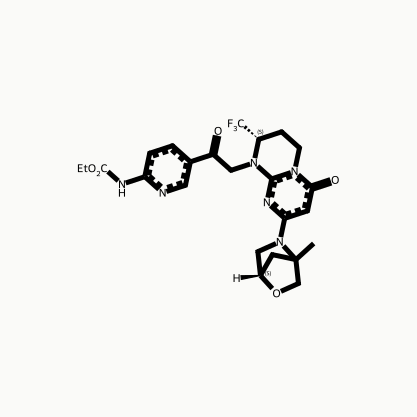 CCOC(=O)Nc1ccc(C(=O)CN2c3nc(N4C[C@@H]5CC4(C)CO5)cc(=O)n3CC[C@H]2C(F)(F)F)cn1